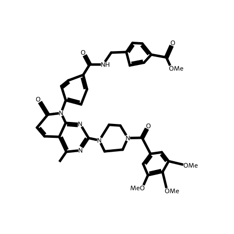 COC(=O)c1ccc(CNC(=O)c2ccc(-n3c(=O)ccc4c(C)nc(N5CCN(C(=O)c6cc(OC)c(OC)c(OC)c6)CC5)nc43)cc2)cc1